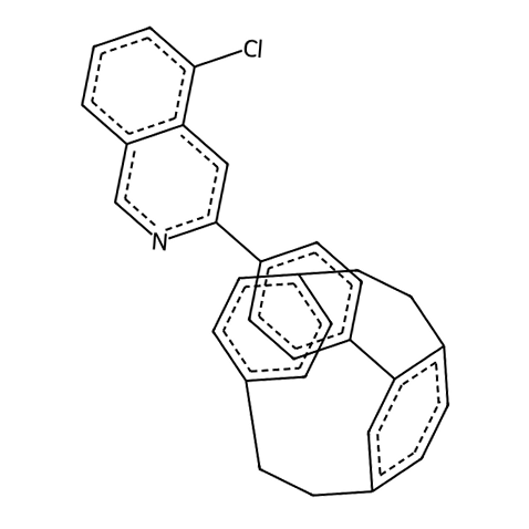 Clc1cccc2cnc(-c3ccc(-c4cc5ccc4CCc4ccc(cc4)CC5)cc3)cc12